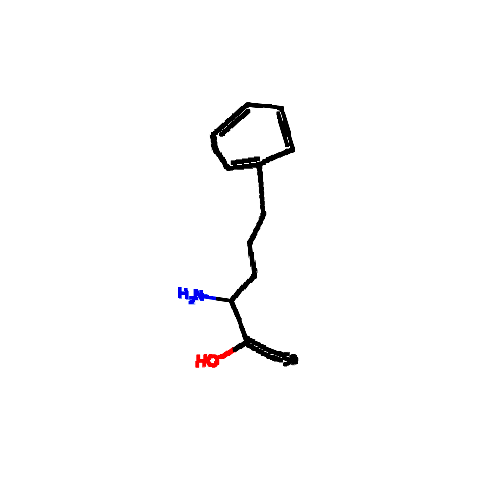 NC(CCCc1ccccc1)C(O)=[Se]